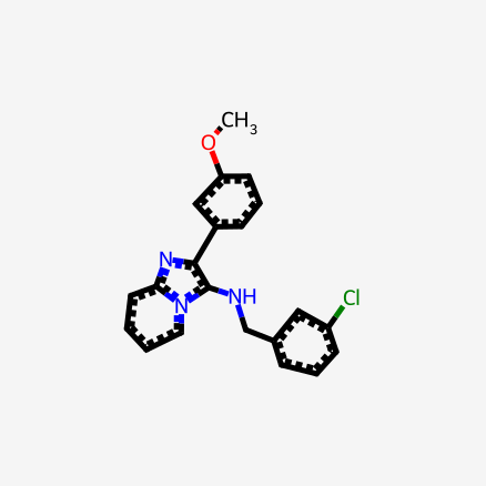 COc1cccc(-c2nc3ccccn3c2NCc2cccc(Cl)c2)c1